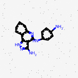 Nc1ccc(Nc2nc3ccccc3c3[nH]nc(N)c23)cc1